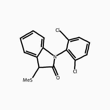 CSC1C(=O)N(c2c(Cl)cccc2Cl)c2ccccc21